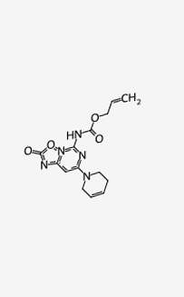 C=CCOC(=O)Nc1nc(N2CC=CCC2)cc2nc(=O)on12